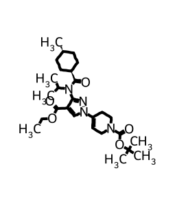 CCOC(=O)c1cn(C2=CCN(C(=O)OC(C)(C)C)CC2)nc1N(C(=O)[C@H]1CC[C@H](C)CC1)C(C)C